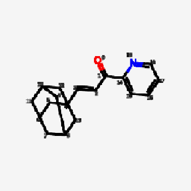 O=C(C=CC12CC3CC(CC(C3)C1)C2)c1ccccn1